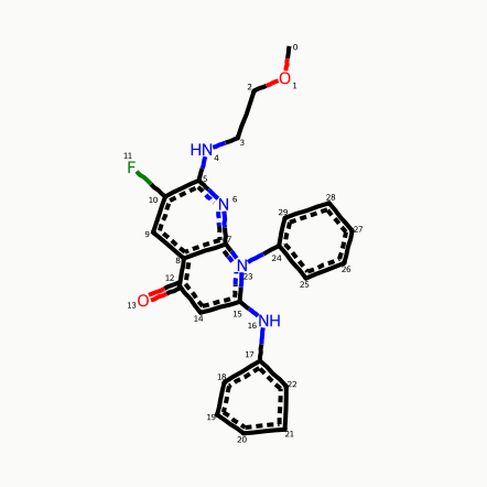 COCCNc1nc2c(cc1F)c(=O)cc(Nc1ccccc1)n2-c1ccccc1